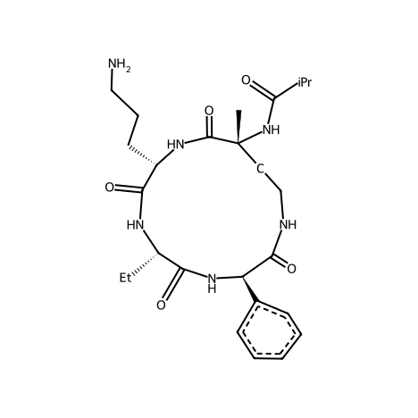 CC[C@@H]1NC(=O)[C@H](CCCN)NC(=O)[C@](C)(NC(=O)C(C)C)CCNC(=O)[C@@H](c2ccccc2)NC1=O